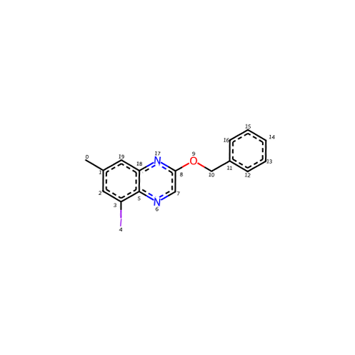 Cc1cc(I)c2ncc(OCc3ccccc3)nc2c1